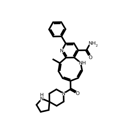 Cc1ccc(C(=O)N2CCC3(CCCN3)CC2)cc[nH]c2c(C(N)=O)cc(-c3ccccc3)nc12